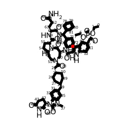 CCOP(=O)(OCC)C(=O)c1ccc2[nH]c(C(O)N[C@H]3CN(C(=O)C[C@H]4CC[C@@H](Cc5ccc6c(c5)n(C)c(=O)n6[C@H]5CCC(=O)NC5=O)CC4)CC[C@H]4CC[C@@H](C(=O)N[C@@H](CCC(N)=O)C(=O)NC(c5ccccc5)c5ccccc5)N4C3=O)cc2c1